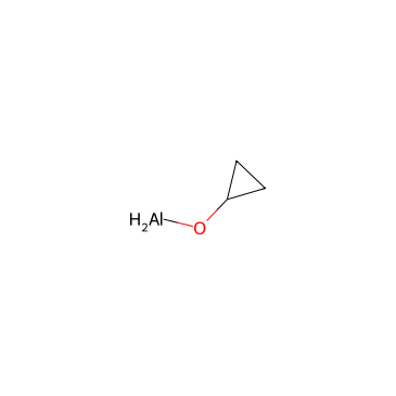 [AlH2][O]C1CC1